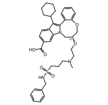 CN(CCCS(=O)(=O)NCc1ccccc1)CCO[C@@H]1COc2ccccc2-c2c(C3CCCCC3)c3ccc(C(=O)O)cc3n2C1